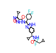 O=C(N[C@H](c1nc2cc(C(NC(=O)C(F)(F)CC3CC3)C3CC3)ccc2[nH]1)C1CCC(F)(F)CC1)c1nonc1C1CC1